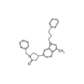 Cc1cn(CCCc2ccccc2)c2cc(C3CC(=O)N(Cc4ccccc4)C3)ccc12